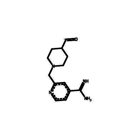 N=C(N)c1ccnc(CN2CCC([C]=O)CC2)c1